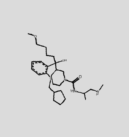 CNCC(C)NC(=O)N1CCCC(C(O)(CCCCOC)c2ccccc2OCC2CCCC2)C1